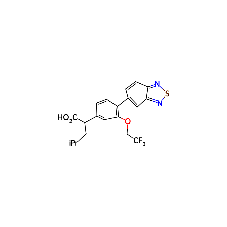 CC(C)CC(C(=O)O)c1ccc(-c2ccc3nsnc3c2)c(OCC(F)(F)F)c1